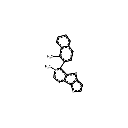 Cc1c(-c2c3sc4ccsc4c3nc[n+]2C)ccc2ccccc12